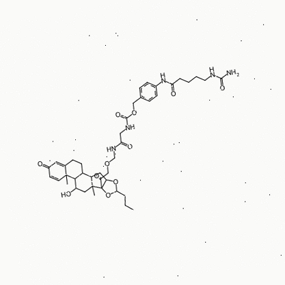 CCCC1OC2CC3C4CCC5=CC(=O)C=CC5(C)C4C(O)CC3(C)C2(C(=O)COCNC(=O)CNC(=O)OCc2ccc(NC(=O)CCCCNC(N)=O)cc2)O1